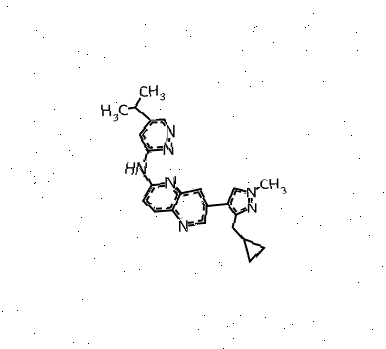 CC(C)c1cnnc(Nc2ccc3ncc(-c4cn(C)nc4CC4CC4)cc3n2)c1